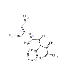 C=C/C=C(C=C)\C=C(/C)N(C)C(C(=C)C(=C)C)c1ccccc1